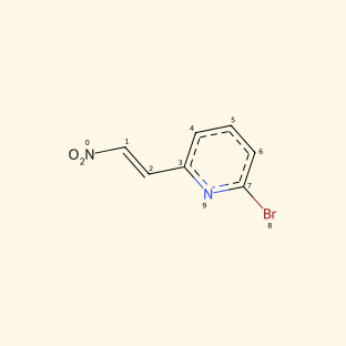 O=[N+]([O-])C=Cc1cccc(Br)n1